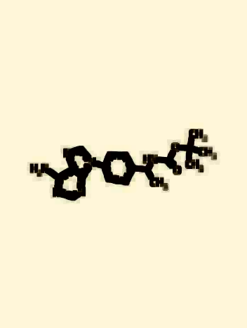 CC(NC(=O)OC(C)(C)C)c1ccc(-n2cnc3c(N)ncnc32)cc1